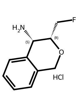 Cl.N[C@H]1c2ccccc2CO[C@H]1CF